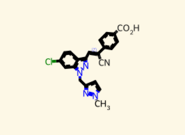 Cn1ccc(Cn2nc(/C=C(\C#N)c3ccc(C(=O)O)cc3)c3ccc(Cl)cc32)n1